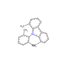 Cc1cccc(C)c1-n1c2c(C)cccc2c2cccc(C)c21